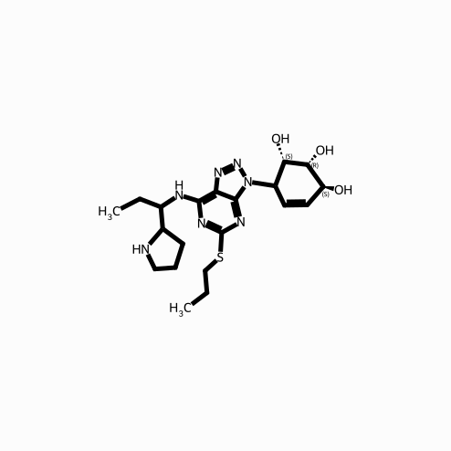 CCCSc1nc(NC(CC)C2CCCN2)c2nnn(C3C=C[C@H](O)[C@@H](O)[C@H]3O)c2n1